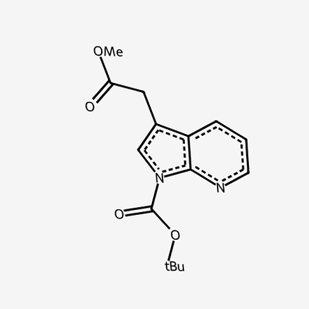 COC(=O)Cc1cn(C(=O)OC(C)(C)C)c2ncccc12